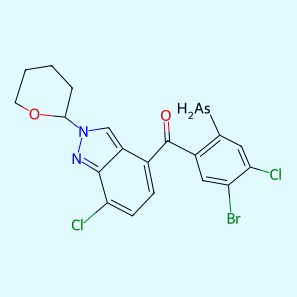 O=C(c1cc(Br)c(Cl)cc1[AsH2])c1ccc(Cl)c2nn(C3CCCCO3)cc12